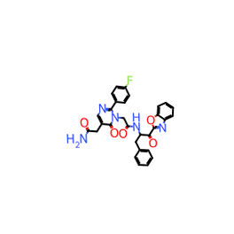 NC(=O)Cc1cnc(-c2ccc(F)cc2)n(CC(=O)NC(Cc2ccccc2)C(=O)c2nc3ccccc3o2)c1=O